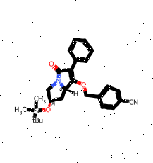 CC(C)(C)[Si](C)(C)O[C@@H]1C[C@H]2C(OCc3ccc(C#N)cc3)=C(c3ccccc3)C(=O)N2C1